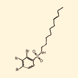 CCCCCCCCCCNS(=O)(=O)c1ccc(Br)c(Br)c1Br